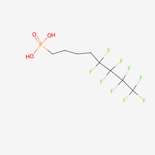 O=P(O)(O)CCCCC(F)(F)C(F)(F)C(F)(F)C(F)(F)F